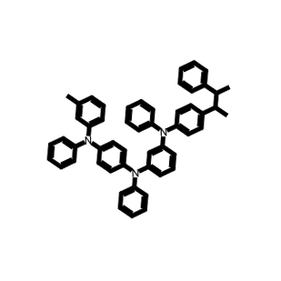 Cc1cccc(N(c2ccccc2)c2ccc(N(c3ccccc3)c3cccc(N(c4ccccc4)c4ccc(C(C)C(C)c5ccccc5)cc4)c3)cc2)c1